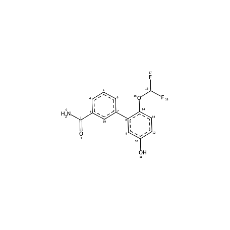 NC(=O)c1cccc(-c2cc(O)ccc2OC(F)F)c1